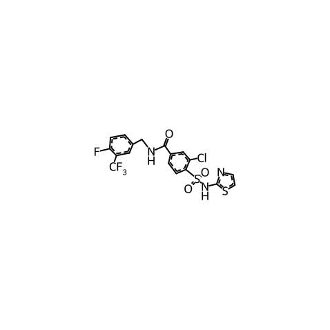 O=C(NCc1ccc(F)c(C(F)(F)F)c1)c1ccc(S(=O)(=O)Nc2nccs2)c(Cl)c1